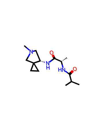 CC(C)C(=O)N[C@@H](C)C(=O)N[C@H]1CN(C)CC12CC2